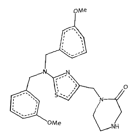 COc1cccc(CN(Cc2cccc(OC)c2)c2nc(CN3CCNCC3=O)cs2)c1